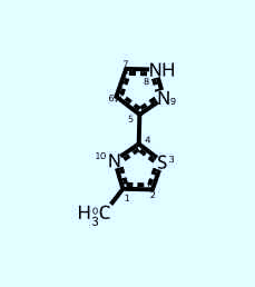 Cc1csc(-c2[c]c[nH]n2)n1